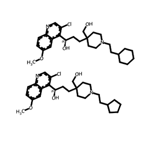 COc1ccc2ncc(Cl)c([C@H](O)CCC3(CO)CCN(CCC4CCCC4)CC3)c2c1.COc1ccc2ncc(Cl)c([C@H](O)CCC3(CO)CCN(CCC4CCCCC4)CC3)c2c1